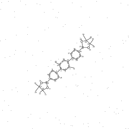 Cc1cc(-c2ccc(B3OC(C)(C)C(C)(C)O3)cc2)c(C)cc1-c1ccc(B2OC(C)(C)C(C)(C)O2)cc1